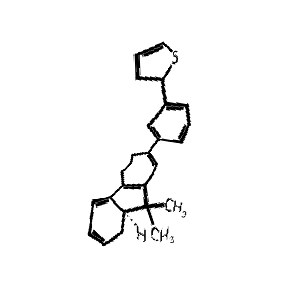 CC1(C)C2=C(CCC(c3cccc(C4CC=CS4)c3)=C2)C2=CC=CC[C@@H]21